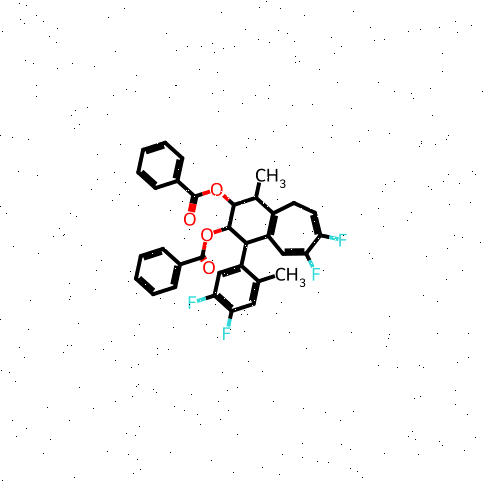 Cc1cc(F)c(F)cc1C1C2=C(CC=C(F)C(F)=C2)C(C)C(OC(=O)c2ccccc2)C1OC(=O)c1ccccc1